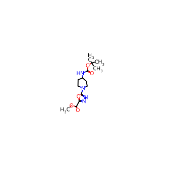 COC(=O)c1nnc(N2CCC(NC(=O)OC(C)(C)C)CC2)o1